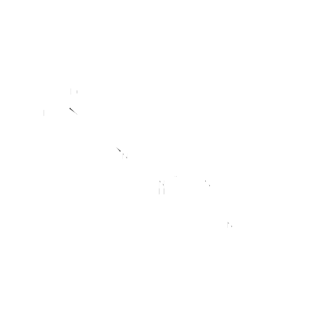 CCC(O)[C@H]1CC[C@@H](N2CC(NC(=O)CNc3cncc4ccc(C)cc34)C2)CC1